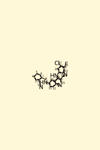 N#Cc1ccccc1CNc1ccc2ncc(C#N)c(Nc3ccc(F)c(Cl)c3)c2c1